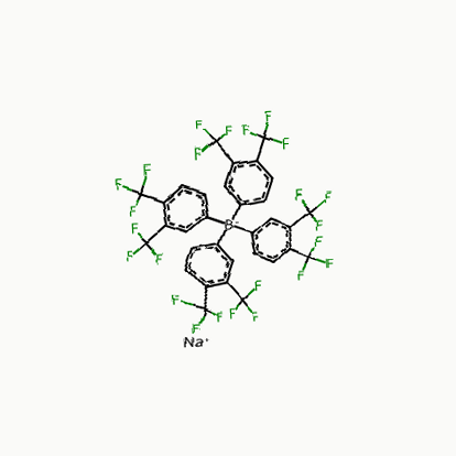 FC(F)(F)c1ccc([B-](c2ccc(C(F)(F)F)c(C(F)(F)F)c2)(c2ccc(C(F)(F)F)c(C(F)(F)F)c2)c2ccc(C(F)(F)F)c(C(F)(F)F)c2)cc1C(F)(F)F.[Na+]